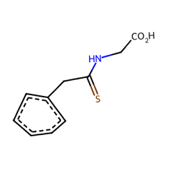 O=C(O)CNC(=S)Cc1ccccc1